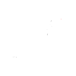 COc1ccc(COC2CC[C@@H]3C(O)CC[C@H]23)cc1